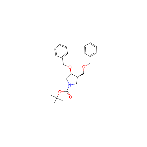 CC(C)(C)OC(=O)N1C[C@H](COCc2ccccc2)[C@H](OCc2ccccc2)C1